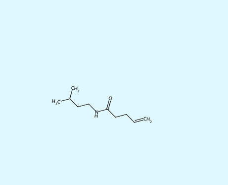 C=CCCC(=O)NCCC(C)C